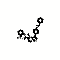 CC(C)(C)c1ccccc1NC(=O)c1ccn2ncc(-c3ccc(OCc4ccccc4)cc3)c2n1